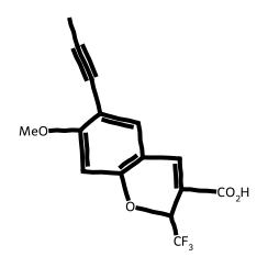 CC#Cc1cc2c(cc1OC)OC(C(F)(F)F)C(C(=O)O)=C2